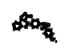 O=C1OC[C@H](c2ccccc2)N1C(=O)[C@H]1CC[C@H](NS(=O)(=O)c2ccc(C(F)(F)F)cc2)CC1